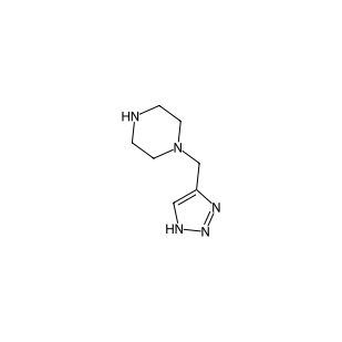 c1[nH]nnc1CN1CCNCC1